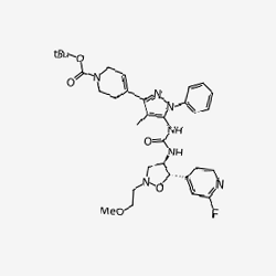 COCCN1C[C@@H](NC(=O)Nc2c(C)c(C3=CCN(C(=O)OC(C)(C)C)CC3)nn2-c2ccccc2)[C@H](c2ccnc(F)c2)O1